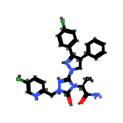 C[C@H](C(N)=O)n1c(N2C[C@H](c3ccccc3)C(c3ccc(Cl)cc3)=N2)nn(Cc2ccc(Cl)cn2)c1=O